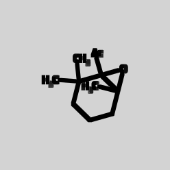 CC(=O)C12OC1(C)CCCC2(C)C